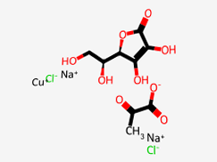 CC(=O)C(=O)[O-].O=C1O[C@H]([C@@H](O)CO)C(O)=C1O.[Cl-].[Cl-].[Cu+].[Na+].[Na+]